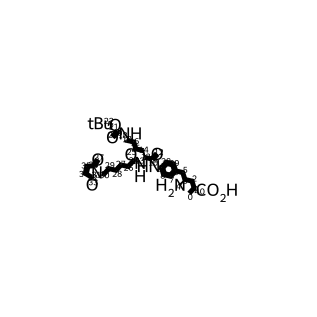 CC(C[C@@H](N)Cc1ccc(NC(=O)[C@H](CCCCNC(=O)OC(C)(C)C)NC(=O)CCCCCN2C(=O)C=CC2=O)cc1)C(=O)O